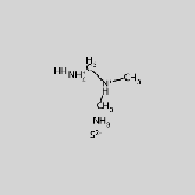 C[NH+](C)C.N.[HH].[NH4+].[S-2]